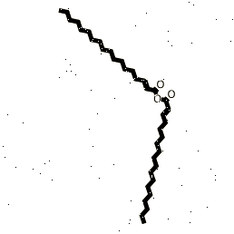 CCCCCCCCCCCCCCCC=CC(=O)OC(=O)C=CCCCCCCCCCCCCCCC